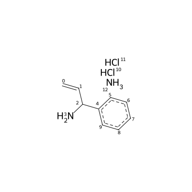 C=CC(N)c1ccccc1.Cl.Cl.N